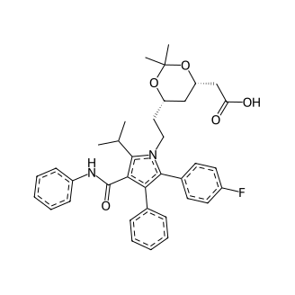 CC(C)c1c(C(=O)Nc2ccccc2)c(-c2ccccc2)c(-c2ccc(F)cc2)n1CC[C@H]1C[C@@H](CC(=O)O)OC(C)(C)O1